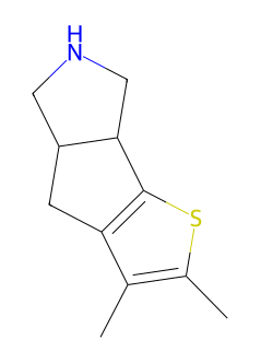 Cc1sc2c(c1C)CC1CNCC21